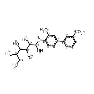 Cc1cc(-c2cccc(C(=O)O)c2)ccc1OC(O)C(O)C(O)C(O)C(C)CO